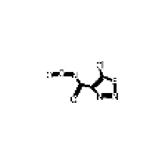 O=C=NC(=O)c1nnsc1Cl